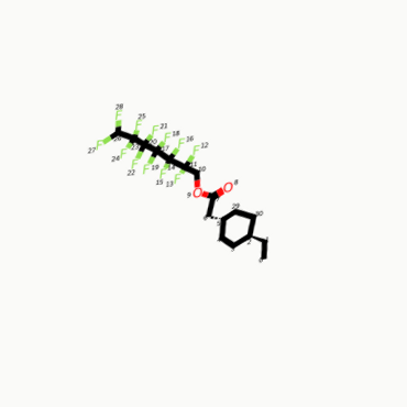 CC[C@H]1CC[C@H](CC(=O)OCC(F)(F)C(F)(F)C(F)(F)C(F)(F)C(F)(F)C(F)F)CC1